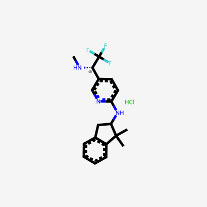 CN[C@@H](c1ccc(NC2Cc3ccccc3C2(C)C)nc1)C(F)(F)F.Cl